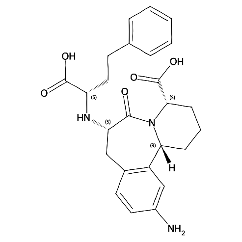 Nc1ccc2c(c1)[C@H]1CCC[C@@H](C(=O)O)N1C(=O)[C@@H](N[C@@H](CCc1ccccc1)C(=O)O)C2